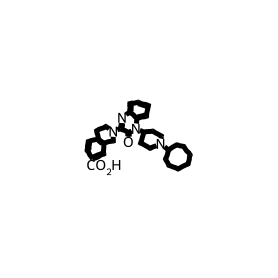 O=C(O)c1ccc2c(c1)CN(c1nc3ccccc3n(C3CCN(C4CCCCCCC4)CC3)c1=O)CC2